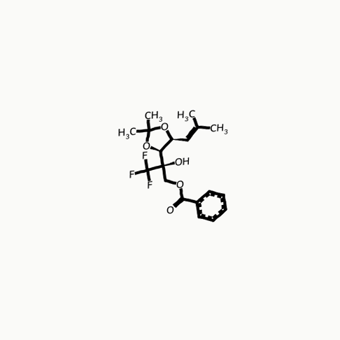 CC(C)=C[C@@H]1OC(C)(C)O[C@@H]1[C@](O)(COC(=O)c1ccccc1)C(F)(F)F